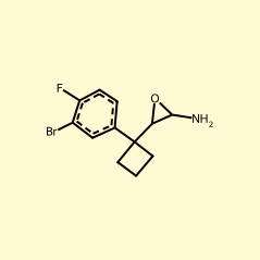 NC1OC1C1(c2ccc(F)c(Br)c2)CCC1